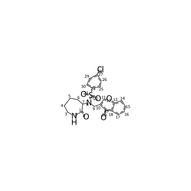 O=C1NCCCCC1N(Cc1coc2ccccc2c1=O)S(=O)(=O)c1ccc(Cl)cc1